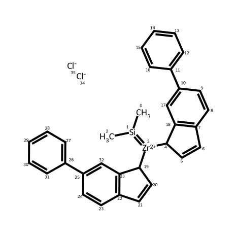 C[Si](C)=[Zr+2]([CH]1C=Cc2ccc(-c3ccccc3)cc21)[CH]1C=Cc2ccc(-c3ccccc3)cc21.[Cl-].[Cl-]